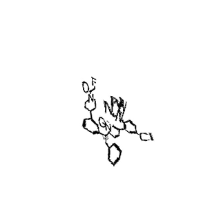 O=C(CF)N1CCC(c2cccc([C@H](Cc3ccccc3)c3ccc(-c4cc(Cl)ccc4-n4cnnn4)c[n+]3[O-])c2)CC1